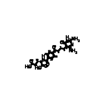 Nc1nc(N)c(CCCC(=O)c2ccc(C(=O)N[C@@H](CCC(=O)O)C(=O)O)cc2)c(=O)[nH]1